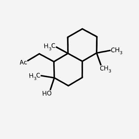 CC(=O)CC1C(C)(O)CCC2C(C)(C)CCCC21C